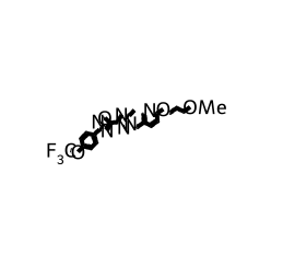 COCCCOc1ccc(Cn2nc(-c3nc(-c4ccc(OC(F)(F)F)cc4)no3)nc2C)cn1